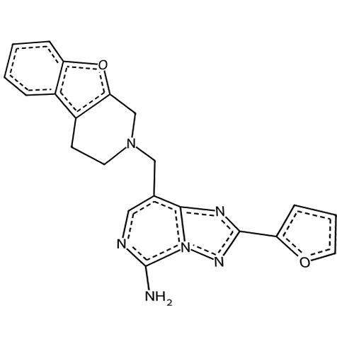 Nc1ncc(CN2CCc3c(oc4ccccc34)C2)c2nc(-c3ccco3)nn12